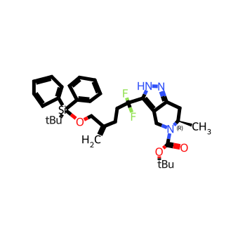 C=C(CCC(F)(F)c1[nH]nc2c1CN(C(=O)OC(C)(C)C)[C@H](C)C2)CO[Si](c1ccccc1)(c1ccccc1)C(C)(C)C